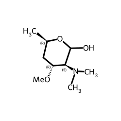 CO[C@@H]1C[C@@H](C)OC(O)[C@H]1N(C)C